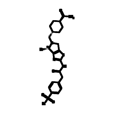 CCS(=O)(=O)c1ccc(CC(=O)Nc2nc3c(s2)CN(C[C@H]2CC[C@H](C(N)=O)CC2)[C@H]3C(C)C)cc1